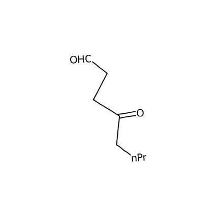 CCCCC(=O)CCC=O